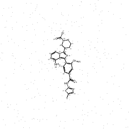 CCOc1cc(C(=O)Nc2ncc(C)s2)ccc1-c1nc(C2CCCN(C(=O)CC)C2)n2ccnc(N)c12